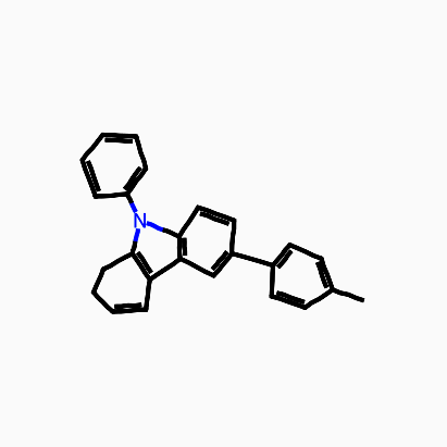 Cc1ccc(-c2ccc3c(c2)c2c(n3-c3ccccc3)CCC=C2)cc1